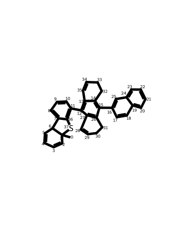 CC12C=CC=CC1c1cccc(-c3c4c(c(-c5ccc6ccccc6c5)c5c3C=CCC5)CCC=C4)c1S2